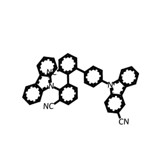 N#Cc1ccc2c(c1)c1ccccc1n2-c1ccc(-c2cccc(C#N)c2-c2cccc(C#N)c2-n2c3ccccc3c3ccccc32)cc1